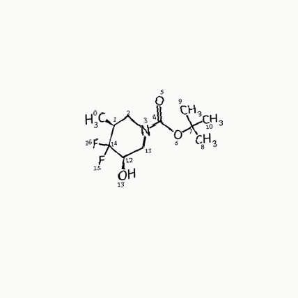 C[C@H]1CN(C(=O)OC(C)(C)C)C[C@@H](O)C1(F)F